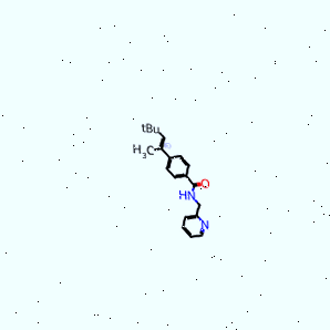 C/C(=C\C(C)(C)C)c1ccc(C(=O)NCc2ccccn2)cc1